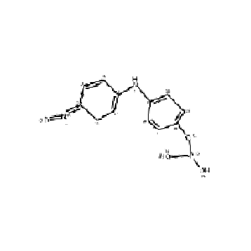 [N-]=[N+]=C1C=CC(Nc2ccc(OP(O)O)cc2)=CC1